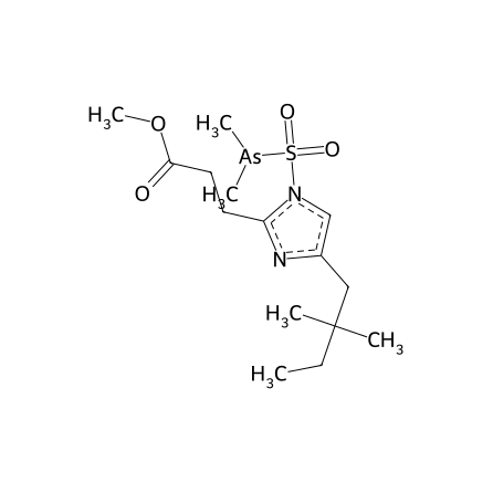 CCC(C)(C)Cc1cn(S(=O)(=O)[As](C)C)c(CCC(=O)OC)n1